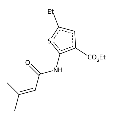 CCOC(=O)c1cc(CC)sc1NC(=O)C=C(C)C